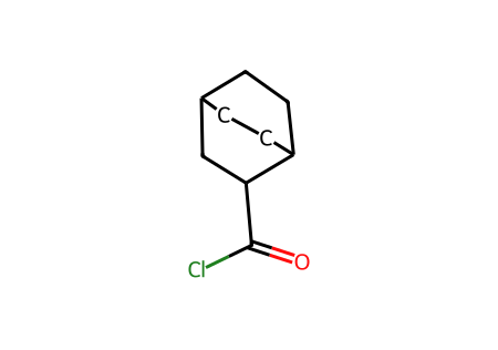 O=C(Cl)C1CC2CCC1CC2